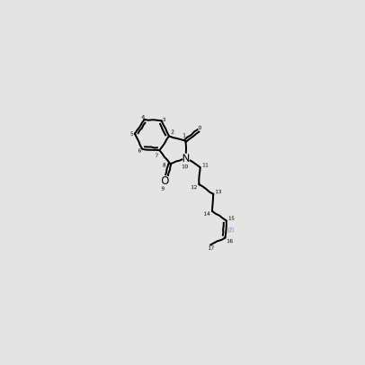 C=C1c2ccccc2C(=O)N1CCCC/C=C\C